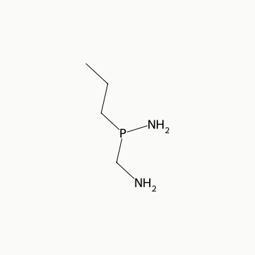 CCCP(N)CN